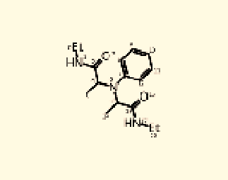 CCNC(=O)C(C)N(c1ccccc1)C(C)C(=O)NCC